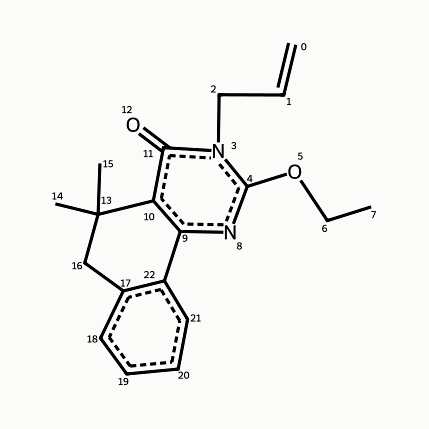 C=CCn1c(OCC)nc2c(c1=O)C(C)(C)Cc1ccccc1-2